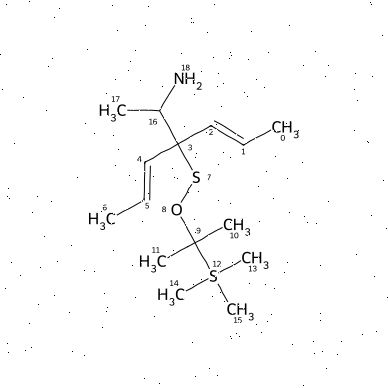 CC=CC(C=CC)(SOC(C)(C)S(C)(C)C)C(C)N